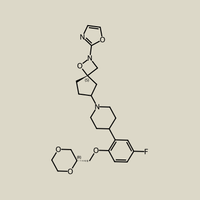 Fc1ccc(OC[C@H]2COCCO2)c(C2CCN(C3CC[C@]4(C3)CN(c3ncco3)O4)CC2)c1